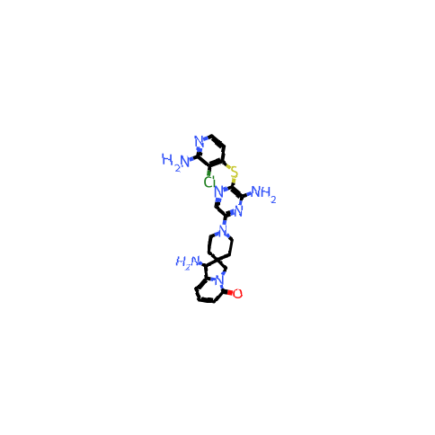 Nc1nc(N2CCC3(CC2)Cn2c(cccc2=O)C3N)cnc1Sc1ccnc(N)c1Cl